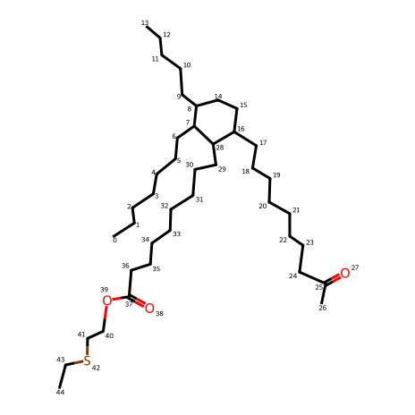 CCCCCCCC1C(CCCCC)CCC(CCCCCCCCC(C)=O)C1CCCCCCCCC(=O)OCCSCC